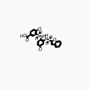 O=C(O)c1ccc(Cl)c(S(=O)(=O)Nc2ccc(Cl)cc2NS(=O)(=O)c2cc3ccccc3o2)c1